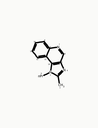 [CH2]CCn1c(C)nc2cnc3ccccc3c21